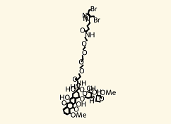 COc1cccc2c1C(=O)c1c(O)c3c(c(O)c1C2=O)C[C@@](O)(C(=O)NNC(=O)CCOCCOCCOCCOCCNC(=O)CCCn1nnc(CBr)c1CBr)C[C@@H]3O[C@H]1C[C@H]2[C@H](O[C@@H]3[C@@H](OC)OCCN32)[C@H](C)O1